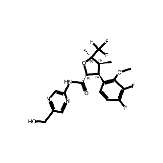 COc1c([C@H]2[C@H](C(=O)Nc3cnc(CO)cn3)O[C@@](C)(C(F)(F)F)[C@H]2C)ccc(F)c1F